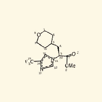 COC(=O)[C@H](CC1CCOCC1)n1cnc(C(F)(F)F)c1